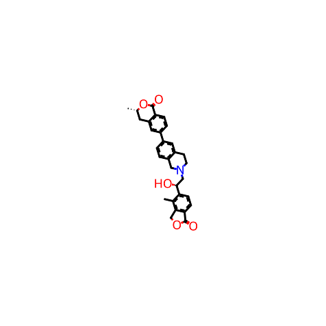 Cc1c([C@@H](O)CN2CCc3cc(-c4ccc5c(c4)C[C@H](C)OC5=O)ccc3C2)ccc2c1COC2=O